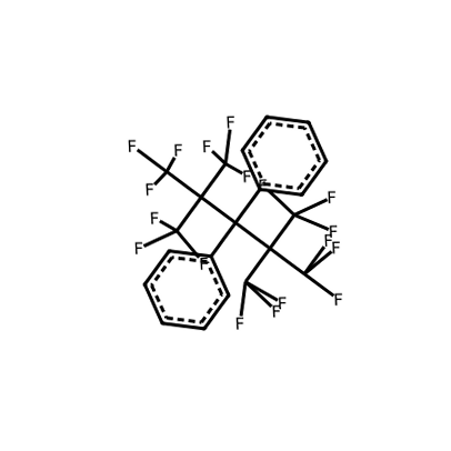 FC(F)(F)C(C(F)(F)F)(C(F)(F)F)C(c1ccccc1)(c1ccccc1)C(C(F)(F)F)(C(F)(F)F)C(F)(F)F